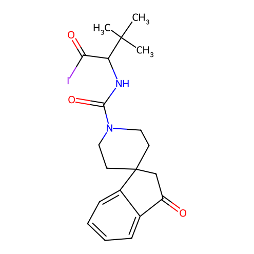 CC(C)(C)C(NC(=O)N1CCC2(CC1)CC(=O)c1ccccc12)C(=O)I